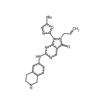 C=CCn1c(=O)c2cnc(Nc3ccc4c(c3)CCNC4)nc2n1-c1ncc(C(C)(C)C)o1